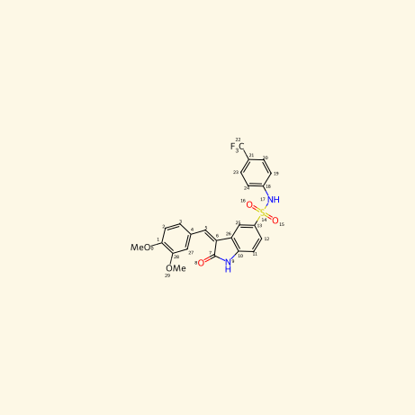 COc1ccc(C=C2C(=O)Nc3ccc(S(=O)(=O)Nc4ccc(C(F)(F)F)cc4)cc32)cc1OC